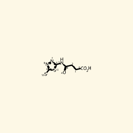 O=C(O)CCC(=O)Nc1nnc([S])s1